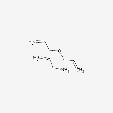 C=CCN.C=CCOCC=C